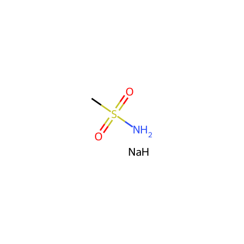 CS(N)(=O)=O.[NaH]